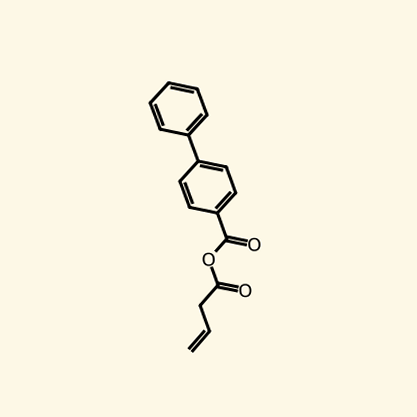 C=CCC(=O)OC(=O)c1ccc(-c2ccccc2)cc1